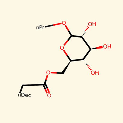 CCCCCCCCCCCC(=O)OC[C@H]1OC(OCCC)[C@H](O)[C@@H](O)[C@@H]1O